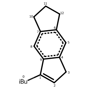 CCC(C)C1=CCc2cc3c(cc21)CCC3